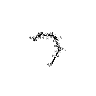 Cn1cc(NC(=O)c2nc(NC(=O)CCNC(=O)c3cc(NC(=O)c4nccn4C)cn3C)cn2C)cc1C(=O)NCCC(=O)Nc1cn(C)c(C(=O)NCCC(=O)NCCCCCCCN)n1